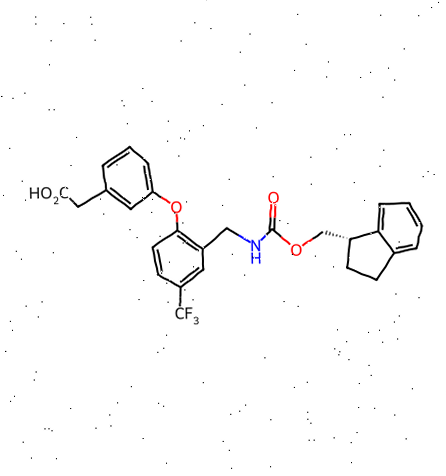 O=C(O)Cc1cccc(Oc2ccc(C(F)(F)F)cc2CNC(=O)OC[C@H]2CCc3ccccc32)c1